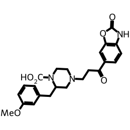 COc1cccc(CC2CN(CCC(=O)c3ccc4[nH]c(=O)oc4c3)CCN2C(=O)O)c1